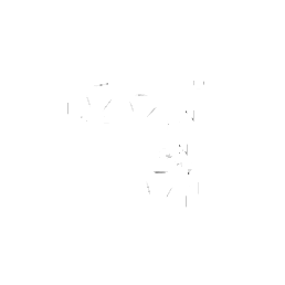 O=S(=O)(c1ccccc1C(F)(F)F)N1CCCCN2C(CO)[C@@H](c3ccc(-c4cccc(C(F)(F)F)c4F)cc3)[C@@H]2C1